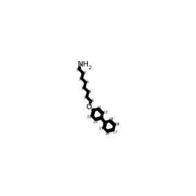 NCCCCCCCCOc1ccc(-c2ccccc2)cc1